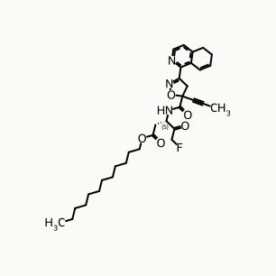 CC#CC1(C(=O)N[C@@H](CC(=O)OCCCCCCCCCCCC)C(=O)CF)CC(c2nccc3c2C=CCC3)=NO1